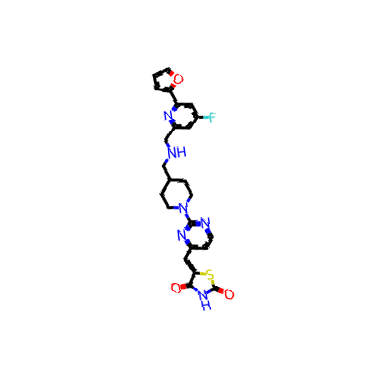 O=C1NC(=O)/C(=C/c2ccnc(N3CCC(CNCc4cc(F)cc(-c5ccco5)n4)CC3)n2)S1